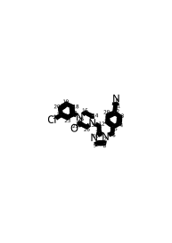 N#Cc1ccc(Cn2ccnc2CN2CCN(c3cccc(Cl)c3)C(=O)C2)cc1